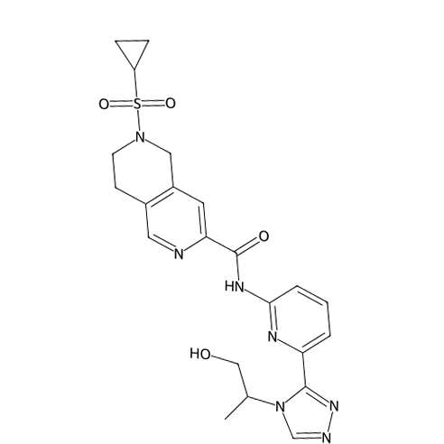 CC(CO)n1cnnc1-c1cccc(NC(=O)c2cc3c(cn2)CCN(S(=O)(=O)C2CC2)C3)n1